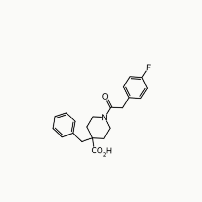 O=C(Cc1ccc(F)cc1)N1CCC(Cc2ccccc2)(C(=O)O)CC1